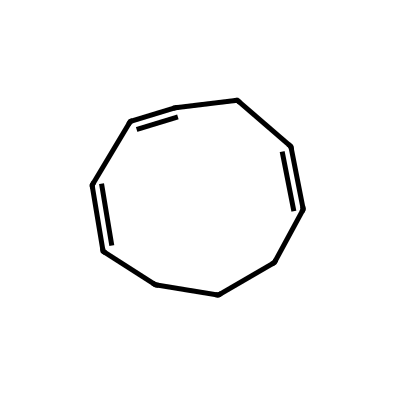 C1=C\C/C=C\CCC\C=C/1